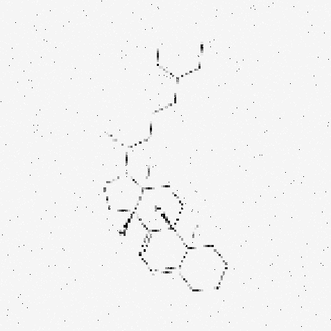 CCC(CC)CCC[C@@H](C)[C@H]1CC[C@H]2C3=CC=C4CCCC[C@]4(C)[C@H]3CC[C@]12C